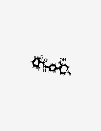 CN1CCC(CO)=C(c2ccc(NC(=O)c3c(F)cccc3F)cc2)CC1